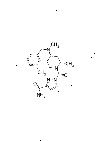 Cc1cccc(CN(C)[C@@H]2CCN(C(=O)n3ccc(C(N)=O)n3)[C@@H](C)C2)c1